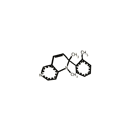 Cc1ccccc1C1(C)C=Cc2cnccc2N1C